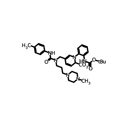 Cc1ccc(NC(=O)N(CCCN2CCN(C)CC2)CC2=CN(c3ccccc3NC(=O)OC(C)(C)C)C(C(=O)O)C=C2)cc1